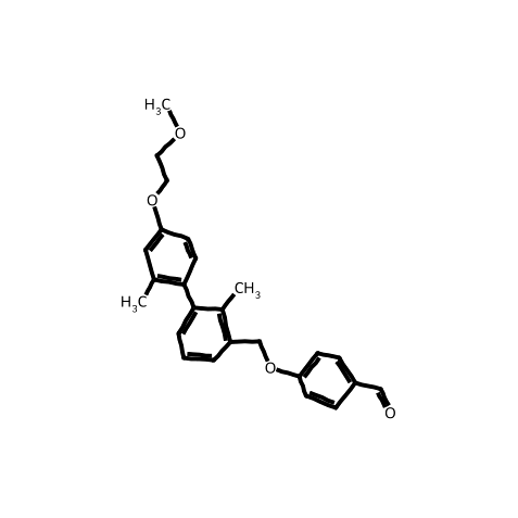 COCCOc1ccc(-c2cccc(COc3ccc(C=O)cc3)c2C)c(C)c1